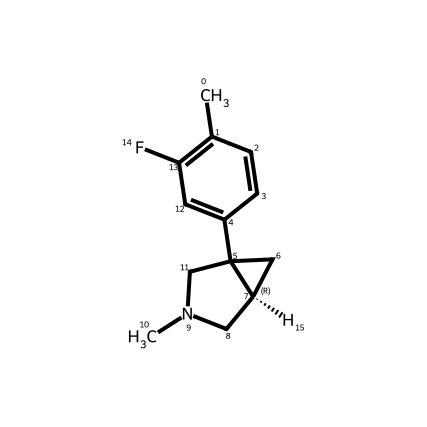 Cc1ccc(C23C[C@H]2CN(C)C3)cc1F